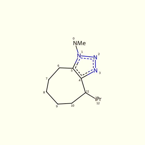 CNn1nnc2c1CCCCCC2C(C)C